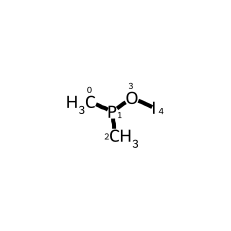 CP(C)OI